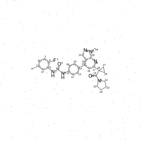 Cc1ccc(F)c(NC(=O)Nc2ccc(-c3cc(C4(C(=O)N5CCCC5)CC4)nc4c3cnn4C)cc2)c1